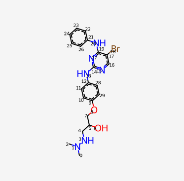 CN(C)NCC(O)COc1ccc(Nc2ncc(Br)c(Nc3ccccc3)n2)cc1